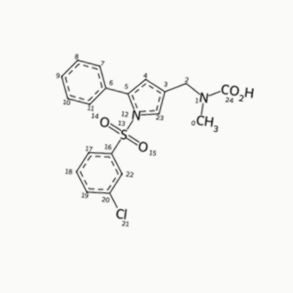 CN(Cc1cc(-c2ccccc2)n(S(=O)(=O)c2cccc(Cl)c2)c1)C(=O)O